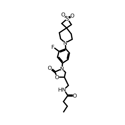 CCCC(=O)NCC1CN(c2ccc(N3CCC4(CC3)CS(=O)(=O)C4)c(F)c2)C(=O)O1